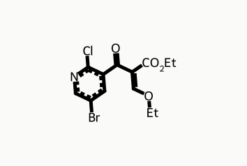 CCOC=C(C(=O)OCC)C(=O)c1cc(Br)cnc1Cl